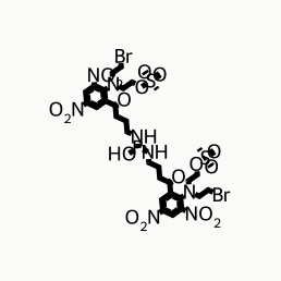 CS(=O)(=O)OCCN(CCBr)c1c(C(=O)CCCNP(O)NCCCC(=O)c2cc([N+](=O)[O-])cc([N+](=O)[O-])c2N(CCBr)CCOS(C)(=O)=O)cc([N+](=O)[O-])cc1[N+](=O)[O-]